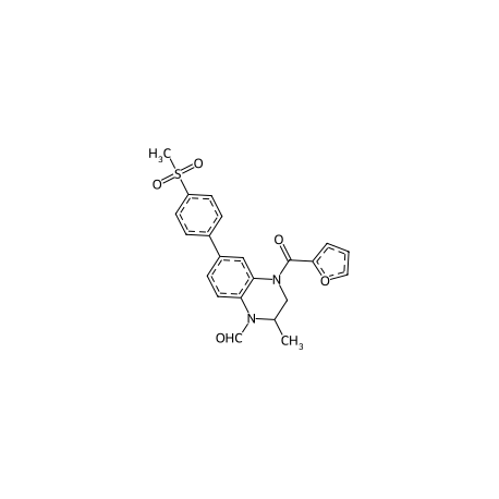 CC1CN(C(=O)c2ccco2)c2cc(-c3ccc(S(C)(=O)=O)cc3)ccc2N1C=O